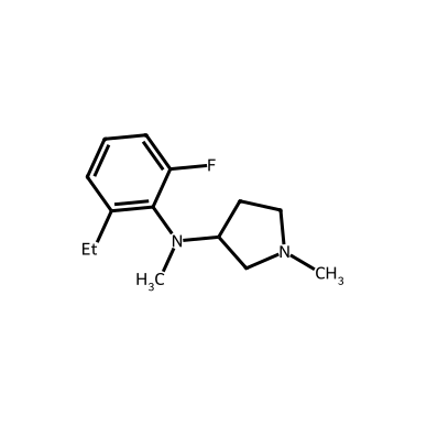 CCc1cccc(F)c1N(C)C1CCN(C)C1